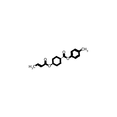 CC=CC(=O)O[C@H]1CC[C@H](C(=O)Oc2ccc(C)cc2)CC1